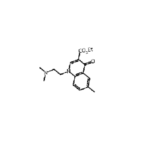 CCOC(=O)c1cn(CCN(C)C)c2ccc(C)cc2c1=O